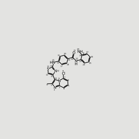 Cc1nc2cccc(Cl)n2c1-c1csc(Nc2ccc(C(=O)Nc3ccccc3N)cc2)n1